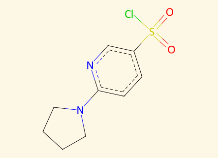 O=S(=O)(Cl)c1ccc(N2CCCC2)nc1